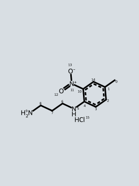 Cc1ccc(NCCCN)c([N+](=O)[O-])c1.Cl